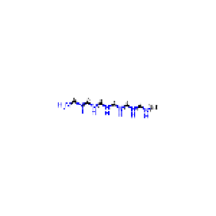 CCNCNCNCNCNCNCN